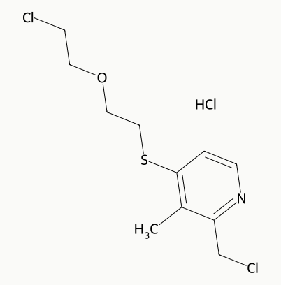 Cc1c(SCCOCCCl)ccnc1CCl.Cl